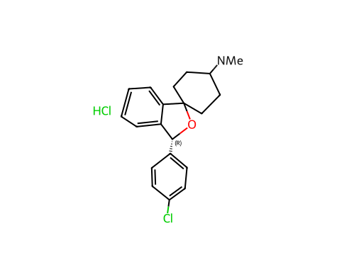 CNC1CCC2(CC1)O[C@H](c1ccc(Cl)cc1)c1ccccc12.Cl